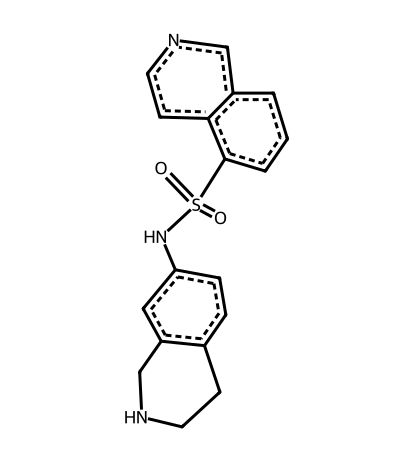 O=S(=O)(Nc1ccc2c(c1)CNCC2)c1cccc2cnccc12